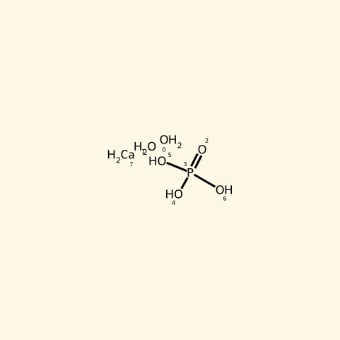 O.O.O=P(O)(O)O.[CaH2]